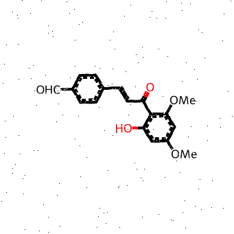 COc1cc(O)c(C(=O)/C=C/c2ccc(C=O)cc2)c(OC)c1